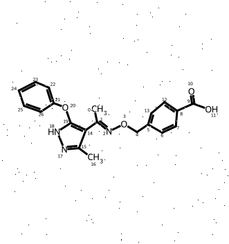 C/C(=N\OCc1ccc(C(=O)O)cc1)c1c(C)n[nH]c1Oc1ccccc1